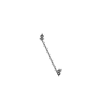 Cc1ccc(S(=O)(=O)OCCOCCOCCOCCOCCOCCOCCOCCOCCOCCOCCc2cc(C)ccc2S(=O)(=O)O)cc1